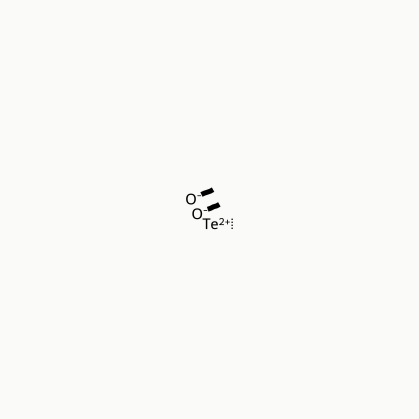 C[O-].C[O-].[Te+2]